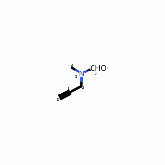 C#CCN(C)[C]=O